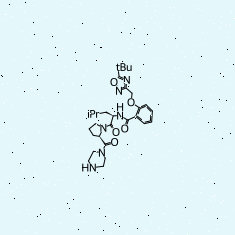 CC(C)C[C@@H](NC(=O)c1ccccc1OCc1noc(C(C)(C)C)n1)C(=O)N1CCC[C@@H]1C(=O)N1CCNCC1